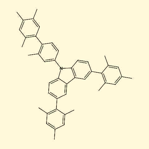 Cc1cc(C)c(-c2ccc3c(c2)c2cc(-c4c(C)cc(C)cc4C)ccc2n3-c2ccc(-c3cc(C)c(C)cc3C)c(C)c2)c(C)c1